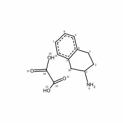 NC1CCc2ccccc2C1.O=C(O)C(=O)O